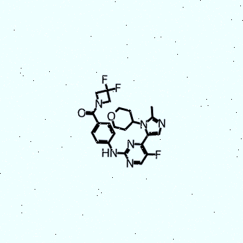 Cc1ncc(-c2nc(Nc3ccc(C(=O)N4CC(F)(F)C4)cc3)ncc2F)n1C1CCOCC1